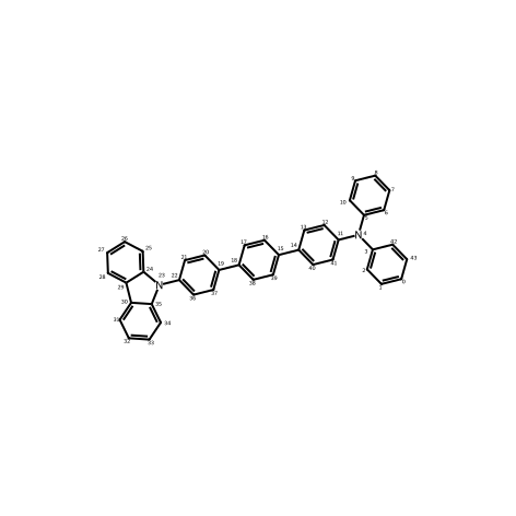 c1ccc(N(c2ccccc2)c2ccc(-c3ccc(-c4ccc(-n5c6ccccc6c6ccccc65)cc4)cc3)cc2)cc1